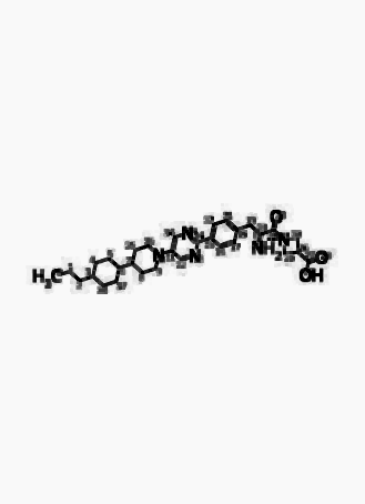 CCCC1CCC(C2CCN(c3cnc(-c4ccc(C[C@H](N)C(=O)N5CC(C(=O)O)C5)cc4)nc3)CC2)CC1